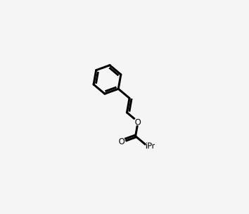 CC(C)C(=O)OC=Cc1ccccc1